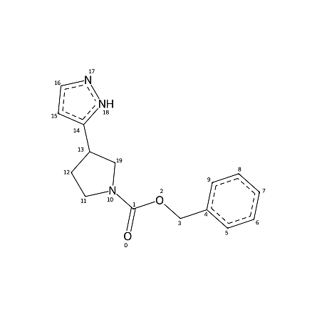 O=C(OCc1ccccc1)N1CCC(c2ccn[nH]2)C1